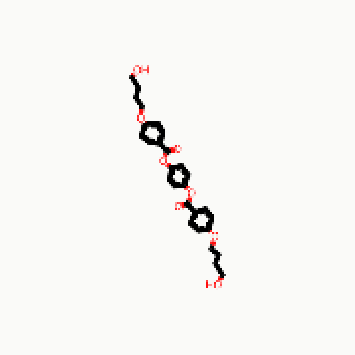 O=C(Oc1ccc(OC(=O)c2ccc(OCCCCO)cc2)cc1)c1ccc(OCCCCO)cc1